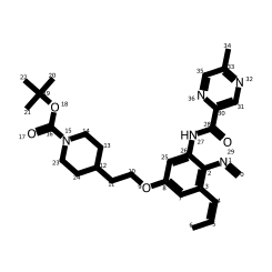 C=Nc1c(/C=C\C)cc(OCCC2CCN(C(=O)OC(C)(C)C)CC2)cc1NC(=O)c1cnc(C)cn1